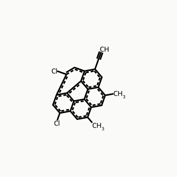 C#Cc1cc2c(C)cc3c(C)cc4c(Cl)cc5c(Cl)cc1c1c2c3c4c51